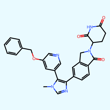 Cn1cnc(-c2ccc3c(c2)CN(C2CCC(=O)NC2=O)C3=O)c1-c1cncc(OCc2ccccc2)c1